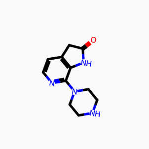 O=C1Cc2ccnc(N3CCNCC3)c2N1